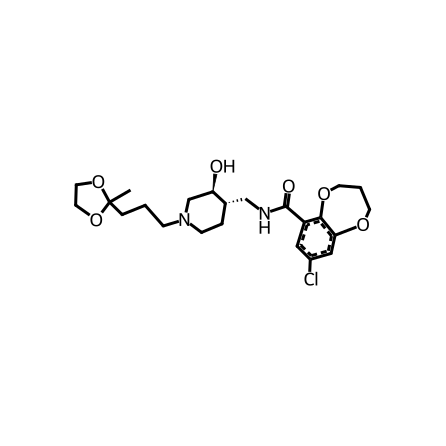 CC1(CCCN2CC[C@@H](CNC(=O)c3cc(Cl)cc4c3OCCCO4)[C@H](O)C2)OCCO1